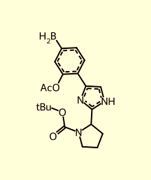 Bc1ccc(-c2c[nH]c(C3CCCN3C(=O)OC(C)(C)C)n2)c(OC(C)=O)c1